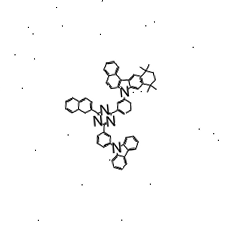 CC1(C)CCC(C)(C)c2cc3c(cc21)c1c2ccccc2ccc1n3C1=CC(c2nc(C3=CC=C4C=CC=CC4C3)nc(-c3cccc(-n4c5ccccc5c5ccccc54)c3)n2)=CCC1